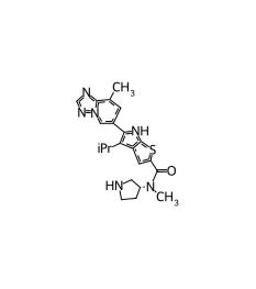 Cc1cc(-c2[nH]c3sc(C(=O)N(C)[C@@H]4CCNC4)cc3c2C(C)C)cn2ncnc12